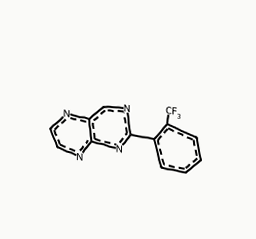 FC(F)(F)c1ccccc1-c1ncc2nccnc2n1